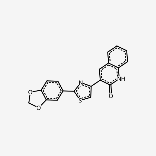 O=c1[nH]c2ccccc2cc1-c1csc(-c2ccc3c(c2)OCO3)n1